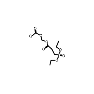 CCOP(=O)(CCC(=O)OCOC(=O)Cl)OCC